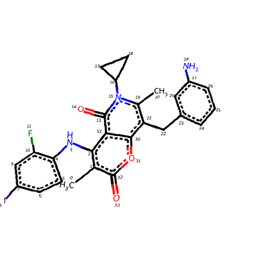 Cc1c(Nc2ccc(I)cc2F)c2c(=O)n(C3CC3)c(C)c(Cc3cccc(N)c3)c2oc1=O